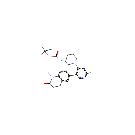 CN1C(=O)CCc2cc(-c3cnc(Cl)cc3N3CCC[C@H](NC(=O)OC(C)(C)C)C3)ccc21